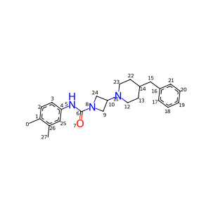 Cc1ccc(NC(=O)N2CC(N3CCC(Cc4ccccc4)CC3)C2)cc1C